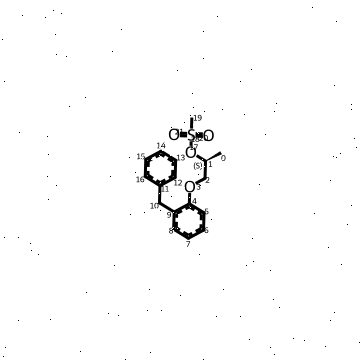 C[C@@H](COc1ccccc1Cc1ccccc1)OS(C)(=O)=O